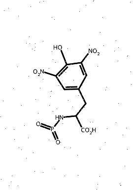 O=C(O)C(Cc1cc([N+](=O)[O-])c(O)c([N+](=O)[O-])c1)NP(=O)=O